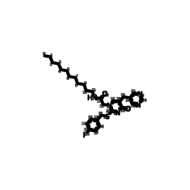 CCCCCCCCCCCCNC(=O)Cn1cc(Cc2cncnc2)c(=O)nc1SCc1ccc(F)cc1